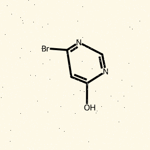 Oc1cc(Br)ncn1